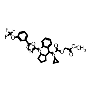 COC(=O)COC(=O)N(C1CC1)C1c2ccccc2N(c2nnc(-c3cccc(OC(F)(F)F)c3)o2)C2CCCC21